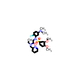 CCN(Cc1ccccn1)C(=O)CN(c1cc(N(C)C)ccc1F)S(=O)(=O)c1ccc(OC)c(OC)c1